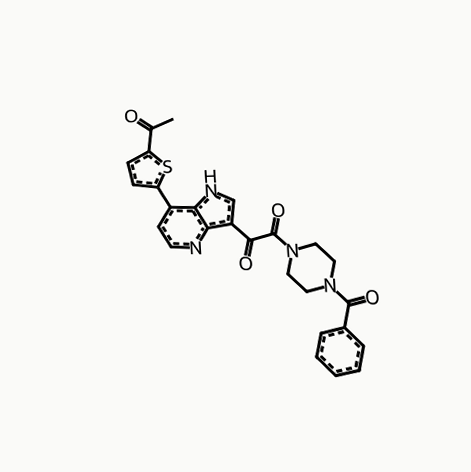 CC(=O)c1ccc(-c2ccnc3c(C(=O)C(=O)N4CCN(C(=O)c5ccccc5)CC4)c[nH]c23)s1